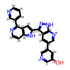 Oc1cncc(-c2cnc3[nH]nc(-c4cc5c(-c6cccnc6)nccc5[nH]4)c3c2)c1